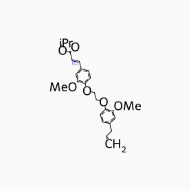 C=CCc1ccc(OCCOc2ccc(/C=C/C(=O)OC(C)C)cc2OC)c(OC)c1